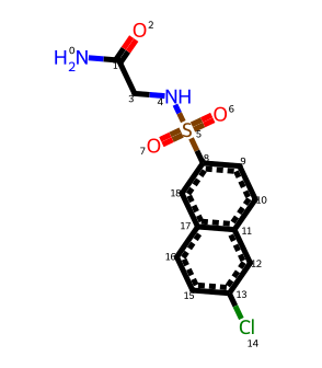 NC(=O)CNS(=O)(=O)c1ccc2cc(Cl)ccc2c1